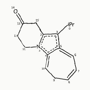 CC(C)c1c2n(c3c1=CC=CCC=3)CCC(=O)C2